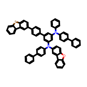 c1ccc(-c2ccc(N(c3ccccc3)c3cc(-c4ccc(-c5ccc6sc7ccccc7c6c5)cc4)cc(N(c4ccc(-c5ccccc5)cc4)c4ccc5oc6ccccc6c5c4)c3)cc2)cc1